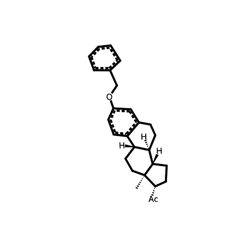 CC(=O)[C@H]1CC[C@H]2[C@@H]3CCc4cc(OCc5ccccc5)ccc4[C@H]3CC[C@]12C